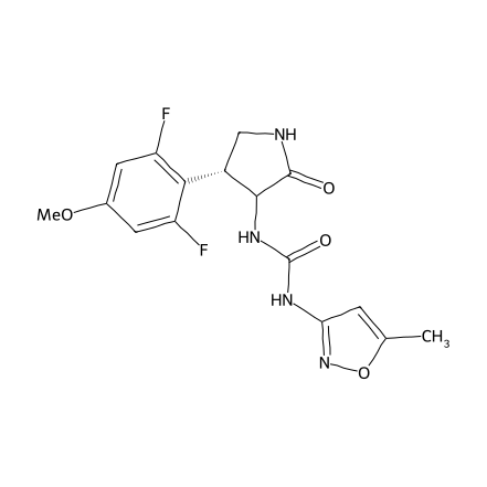 COc1cc(F)c([C@@H]2CNC(=O)C2NC(=O)Nc2cc(C)on2)c(F)c1